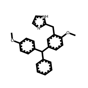 COc1ccc([C](c2ccccc2)c2ccc(OC)c(Cc3ncc[nH]3)c2)cc1